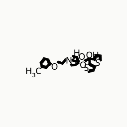 Cc1cccc(OCCC[N+]23CCC(CC2)[C@@H](OC(=O)C(O)(c2cccs2)c2cccs2)C3)c1